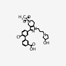 CS(=O)(=O)N1CCc2c(c(-c3ccc(Cl)c(-c4cccc(C(=O)O)c4)c3)nn2CCCN2CCC(O)C2)C1